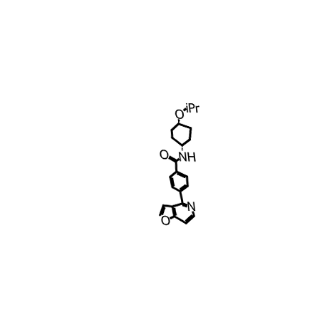 CC(C)O[C@H]1CC[C@H](NC(=O)c2ccc(-c3nccc4occc34)cc2)CC1